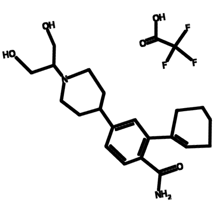 NC(=O)c1ccc(C2CCN(C(CO)CO)CC2)cc1C1=CCCCC1.O=C(O)C(F)(F)F